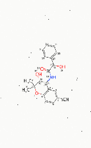 CC1(C)Oc2ccc(C#N)cc2[C@H](NC(=O)[C@H](O)c2ccccc2)[C@H]1O